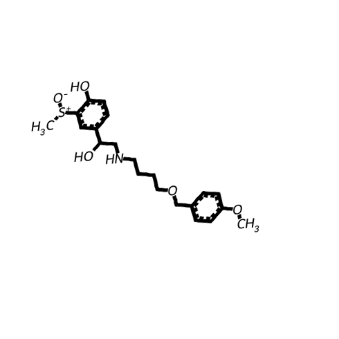 COc1ccc(COCCCCNCC(O)c2ccc(O)c([S+](C)[O-])c2)cc1